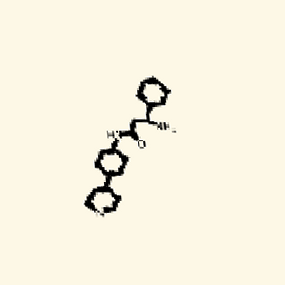 NC(CC(=O)Nc1ccc(-c2ccncc2)cc1)c1ccccc1